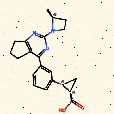 C[C@H]1CCN1c1nc2c(c(-c3cccc([C@@H]4C[C@H]4C(=O)O)c3)n1)CCC2